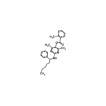 CCCCCC(Nc1nc(C)c(OC(=O)c2ccccc2C)c(C)n1)c1ccccc1